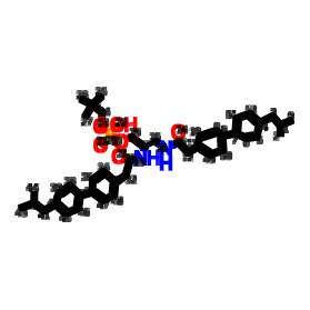 CC(C)Cc1ccc(-c2ccc(CC(=O)NC[C@H](COP(=O)(O)OCC(C)(C)C)NC(=O)Cc3ccc(-c4ccc(CC(C)C)cc4)cc3)cc2)cc1